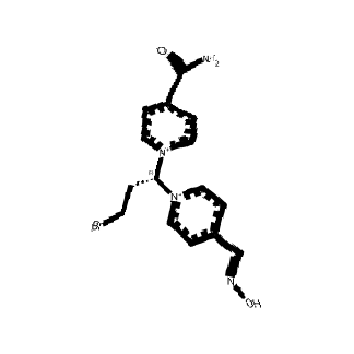 NC(=O)c1cc[n+]([C@@H](CCBr)[n+]2ccc(C=NO)cc2)cc1